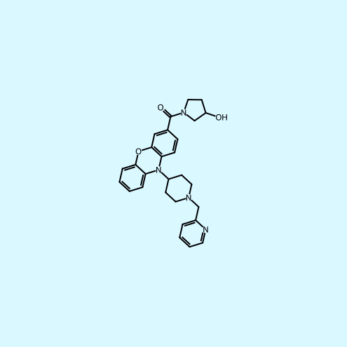 O=C(c1ccc2c(c1)Oc1ccccc1N2C1CCN(Cc2ccccn2)CC1)N1CCC(O)C1